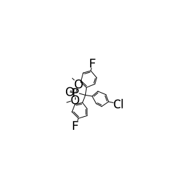 COP(=O)(OC)C(c1ccc(F)cc1)(c1ccc(F)cc1)c1ccc(Cl)cc1